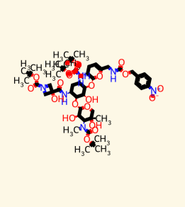 CN(C(=O)OC(C)(C)C)[C@@H]1[C@@H](O)[C@@H](O[C@@H]2[C@@H](O)[C@H](O[C@H]3OC(CNC(=O)OCc4ccc([N+](=O)[O-])cc4)=CC[C@H]3NC(=O)OC(C)(C)C)[C@@H](NC(=O)OC(C)(C)C)C[C@H]2NC(=O)C2(O)CN(C(=O)OC(C)(C)C)C2)OC[C@]1(C)O